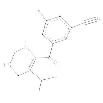 Cc1cc(C#N)cc(C(=O)C2=C(C(C)C)CNCN2)c1